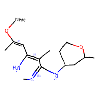 C\N=C(NC1CCOC(C)C1)/C(C)=C(N)/C=C(\C)ONC